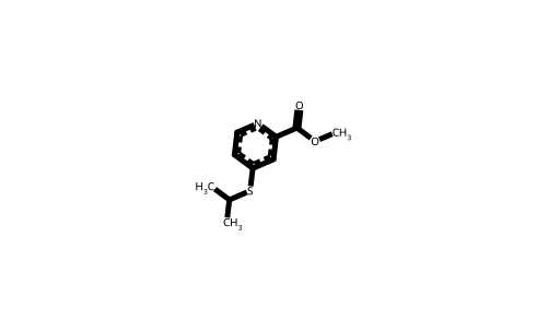 COC(=O)c1cc(SC(C)C)ccn1